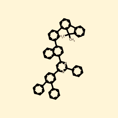 CC1(C)c2ccccc2-c2cccc(-c3cccc(-c4ccc(-c5cc(-c6ccc(-c7ccccc7)c(-c7ccccc7)c6)nc(-c6ccccc6)n5)c5ccccc45)c3)c21